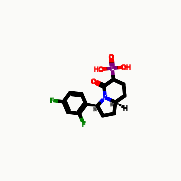 O=C1C(P(=O)(O)O)CC[C@H]2CC[C@@H](c3ccc(F)cc3F)N12